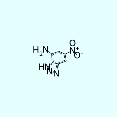 Nc1cc([N+](=O)[O-])cc2nn[nH]c12